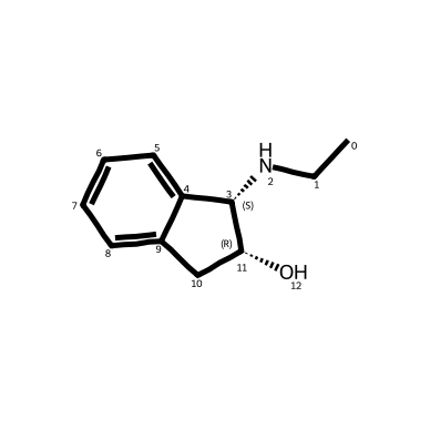 CCN[C@H]1c2ccccc2C[C@H]1O